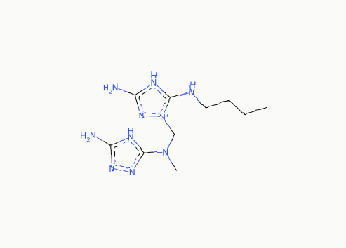 CCCCNc1[nH]c(N)n[n+]1CN(C)c1nnc(N)[nH]1